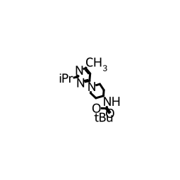 Cc1cc(N2CCC(NC(=O)OC(C)(C)C)CC2)nc(C(C)C)n1